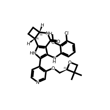 COc1c(Cl)cccc1Nc1c(-c2ccncc2OC[C@H]2OCC2(C)C)[nH]c2c1C(=O)N[C@H]1CC[C@@H]21